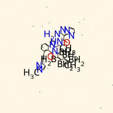 B=C(/C(B)=C(B)\C(B)=C(\B)C)n1c([C@@H](C)NC(=O)c2c(N)nn3cccnc23)nc2cccc(C#Cc3ccn(C)n3)c2c1=O